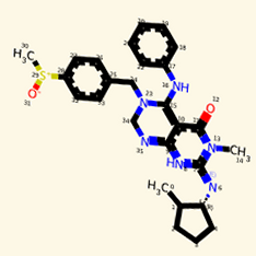 CC1CCC[C@H]1/N=c1\[nH]c2c(c(=O)n1C)=C(Nc1ccccc1)N(Cc1ccc([S+](C)[O-])cc1)CN=2